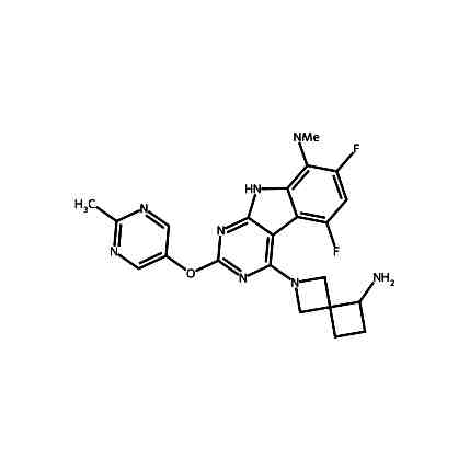 CNc1c(F)cc(F)c2c1[nH]c1nc(Oc3cnc(C)nc3)nc(N3CC4(CCC4N)C3)c12